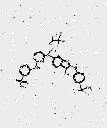 CN(c1ccc2c(c1)nc(Nc1ccc(C(C)(C)C)cc1)n2C)c1ccnc(Nc2cccc(S(N)(=O)=O)c2)n1.O=C(O)C(F)(F)F